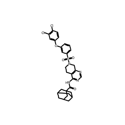 O=C(Nc1ncnc2c1CCN(S(=O)(=O)c1cccc(Oc3ccc(Cl)c(Cl)c3)c1)C2)C12CC3CC(CC(C3)C1)C2